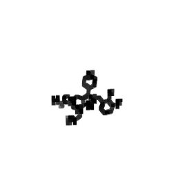 CC(C)CN1CN(C)Cc2c1nn(Cc1cccc(F)c1F)c2-c1ccncc1